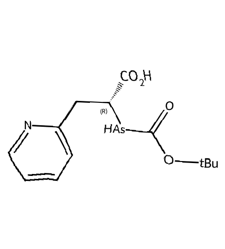 CC(C)(C)OC(=O)[AsH][C@H](Cc1ccccn1)C(=O)O